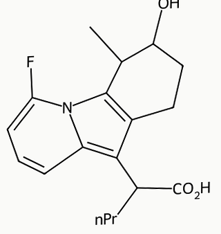 CCCC(C(=O)O)c1c2c(n3c(F)cccc13)C(C)C(O)CC2